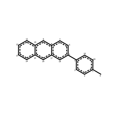 Cc1ccc(-c2ccc3cc4ccccc4cc3c2)cc1